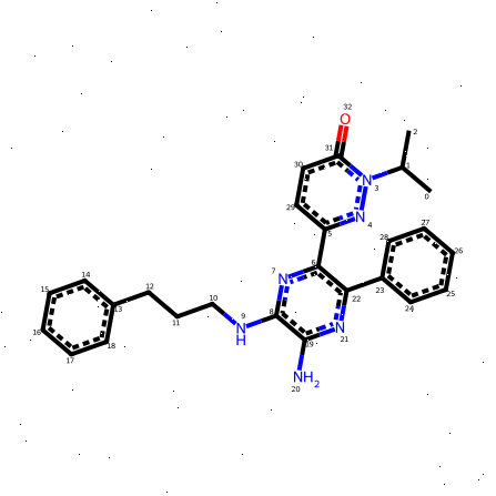 CC(C)n1nc(-c2nc(NCCCc3ccccc3)c(N)nc2-c2ccccc2)ccc1=O